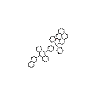 c1ccc([Si](c2ccccc2)(c2ccc(-c3c4ccccc4c(-c4ccc5ccccc5c4)c4ccccc34)cc2)c2ccc3ccc4cccc5ccc2c3c45)cc1